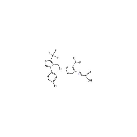 O=C(O)/C=C/c1ccc(OCc2c(-c3ccc(Cl)cc3)nsc2C(F)(F)F)cc1C(F)F